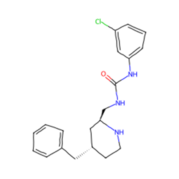 O=C(NC[C@@H]1C[C@@H](Cc2ccccc2)CCN1)Nc1cccc(Cl)c1